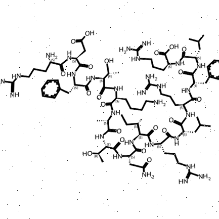 CC[C@H](C)[C@H](NC(=O)[C@H](CC(N)=O)NC(=O)[C@@H](NC(=O)[C@H](C)NC(=O)[C@H](CCCCN)NC(=O)[C@@H](NC(=O)[C@H](Cc1ccccc1)NC(=O)[C@H](CC(=O)O)NC(=O)[C@@H](N)CCCNC(=N)N)[C@@H](C)O)[C@@H](C)O)C(=O)N[C@@H](CCCNC(=N)N)C(=O)N[C@@H](CC(C)C)C(=O)N[C@@H](CCCNC(=N)N)C(=O)N[C@@H](Cc1ccccc1)C(=O)N[C@@H](CC(C)C)C(=O)N[C@@H](CCCNC(=N)N)C(=O)O